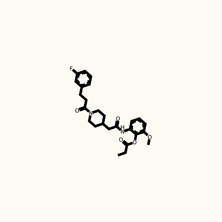 CCC(=O)Oc1c(NC(=O)CC2CCN(C(=O)CCc3cccc(F)c3)CC2)cccc1OC